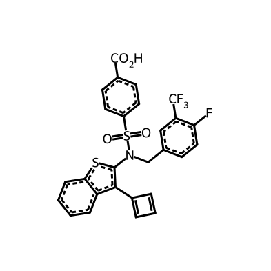 O=C(O)c1ccc(S(=O)(=O)N(Cc2ccc(F)c(C(F)(F)F)c2)c2sc3ccccc3c2C2=CC=C2)cc1